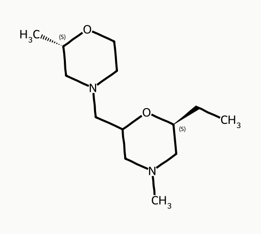 CC[C@H]1CN(C)CC(CN2CCO[C@@H](C)C2)O1